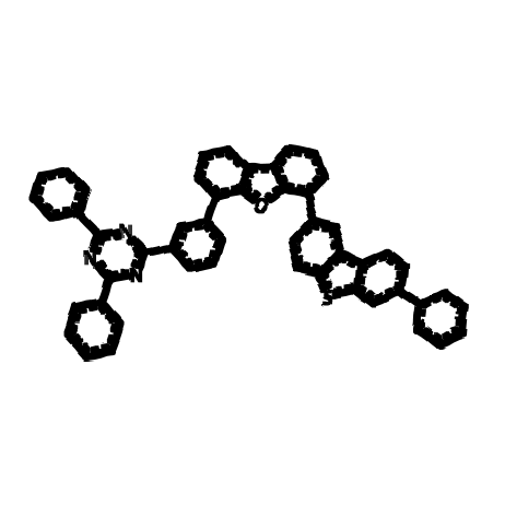 c1ccc(-c2ccc3c(c2)sc2ccc(-c4cccc5c4oc4c(-c6cccc(-c7nc(-c8ccccc8)nc(-c8ccccc8)n7)c6)cccc45)cc23)cc1